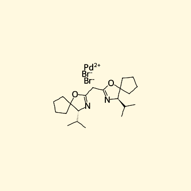 CC(C)[C@H]1N=C(CC2=N[C@H](C(C)C)C3(CCCC3)O2)OC12CCCC2.[Br-].[Br-].[Pd+2]